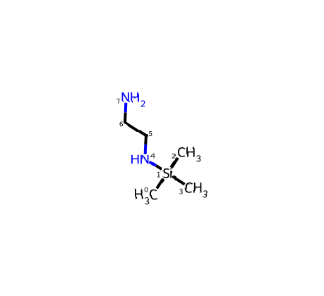 C[Si](C)(C)NCCN